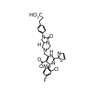 COC(=O)C1=C(CN2CCN3C(=O)N(c4ccc(CCC(=O)O)cc4)C[C@@H]3C2)NC(c2nccs2)=N[C@H]1c1ccc(F)cc1Cl